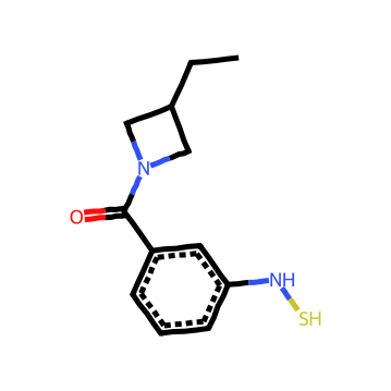 CCC1CN(C(=O)c2cccc(NS)c2)C1